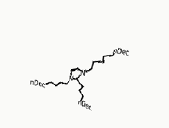 CCCCCCCCCCCCCCCN1C=CN(CCCCCCCCCCCCCC)C1CCCCCCCCCCCCC